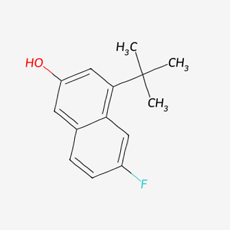 CC(C)(C)c1cc(O)cc2ccc(F)cc12